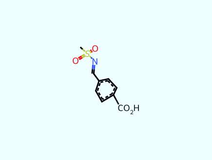 CS(=O)(=O)/N=C/c1ccc(C(=O)O)cc1